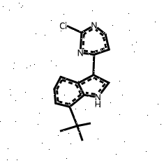 CC(C)(C)c1cccc2c(-c3ccnc(Cl)n3)c[nH]c12